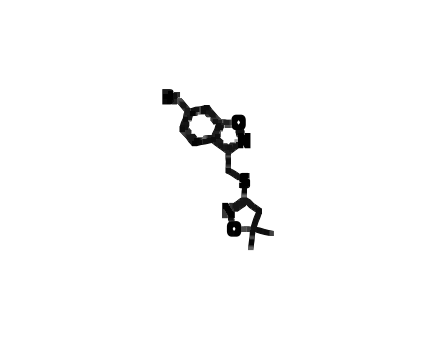 CC1(C)CC(SCc2noc3cc(Br)ccc23)=NO1